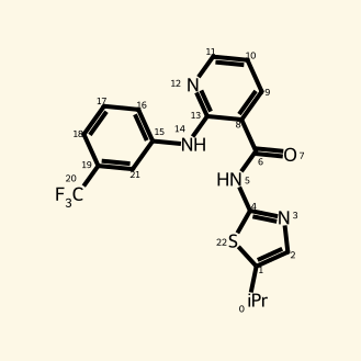 CC(C)c1cnc(NC(=O)c2cccnc2Nc2cccc(C(F)(F)F)c2)s1